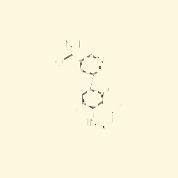 Cc1cc(-c2cncc(C(N)=O)c2)c(Cl)c2c1NC(C)(C)CC2C